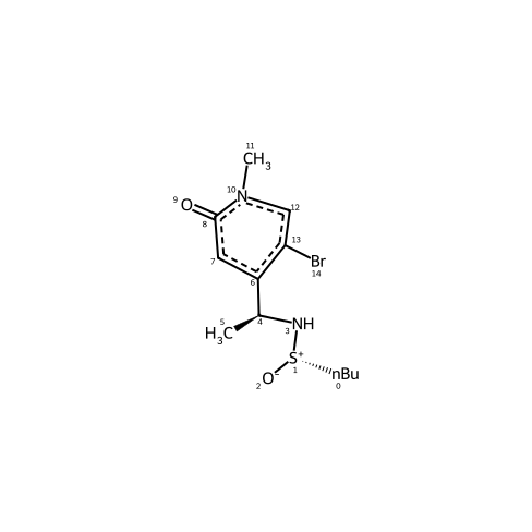 CCCC[S@+]([O-])N[C@@H](C)c1cc(=O)n(C)cc1Br